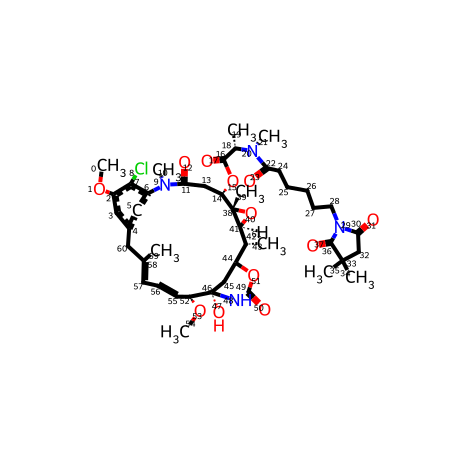 COc1cc2cc(c1Cl)N(C)C(=O)C[C@H](OC(=O)[C@H](C)N(C)C(=O)CCCCCN1C(=O)CC(C)(C)C1=O)[C@]1(C)O[C@H]1[C@H](C)C1C[C@@](O)(NC(=O)O1)[C@H](OC)/C=C/C=C(\C)C2